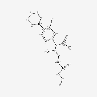 CCOC(=O)NCC(O)C(c1ccc(N2CCOCC2)c(F)c1)[N+](=O)[O-]